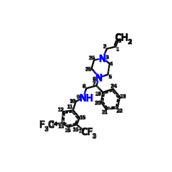 C=CCN1CCN(C(CNCc2cc(C(F)(F)F)cc(C(F)(F)F)c2)c2ccccc2)CC1